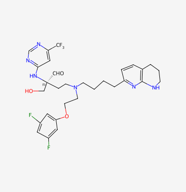 O=C[C@@](CO)(CCN(CCCCc1ccc2c(n1)NCCC2)CCOc1cc(F)cc(F)c1)Nc1cc(C(F)(F)F)ncn1